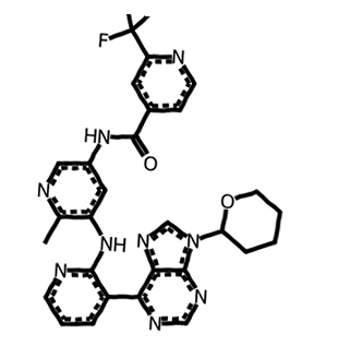 Cc1ncc(NC(=O)c2ccnc(C3(F)CC3)c2)cc1Nc1ncccc1-c1ncnc2c1ncn2C1CCCCO1